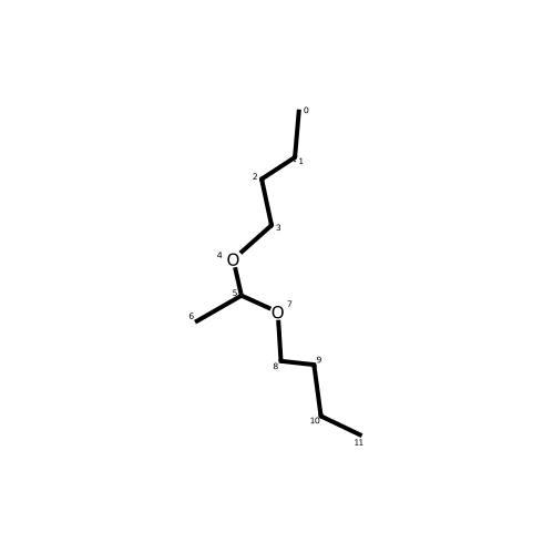 C[CH]CCOC(C)OCCCC